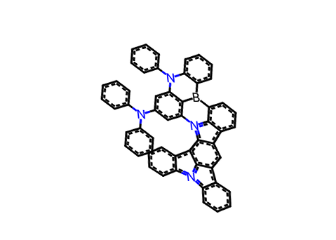 c1ccc(N(c2ccccc2)c2cc3c4c(c2)-n2c5c(cccc5c5cc6c7ccccc7n7c8ccccc8c(c52)c67)B4c2ccccc2N3c2ccccc2)cc1